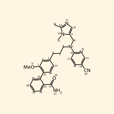 COc1cc(CCCN(Cc2cnc(C)n2C)c2ccc(C#N)cn2)ccc1-c1ccccc1C(N)=O